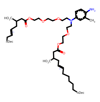 CCCCCCCCCCC/C=C/CC(CC(=O)OCCOCCOCCN(CCOCCOC(=O)CC(C/C=C/CCCCCCCCCCCCCCC)C(=O)O)c1ccc(N)c(C)c1)C(=O)O